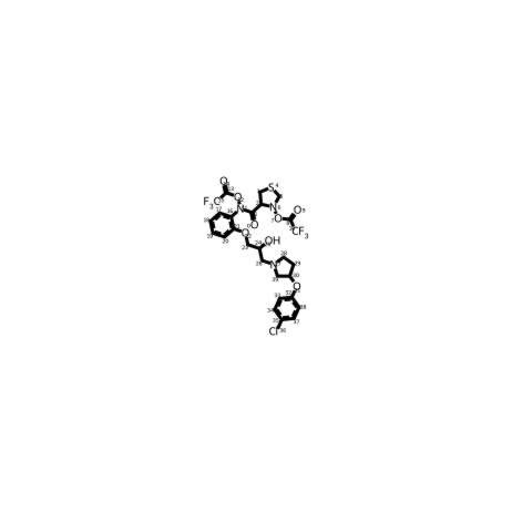 O=C(C1CSCN1OC(=O)C(F)(F)F)N(OC(=O)C(F)(F)F)c1ccccc1OCC(O)CN1CCC(Oc2ccc(Cl)cc2)C1